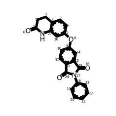 O=C1CCc2ccc(Oc3ccc4c(c3)C(=O)N(c3ccccc3)C4=O)cc2N1